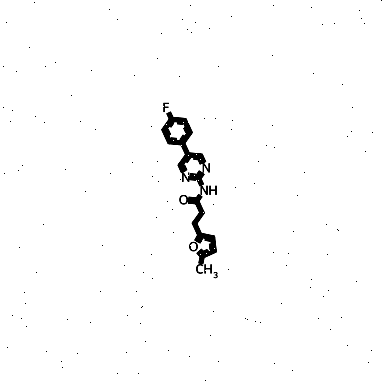 Cc1ccc(CCC(=O)Nc2ncc(-c3ccc(F)cc3)cn2)o1